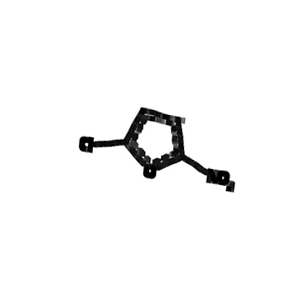 O=[N+]([O-])c1[c]cc(Cl)o1